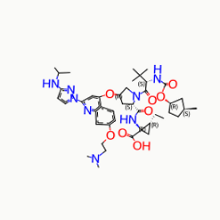 CC[C@@H]1C[C@]1(NC(=O)[C@@H]1C[C@@H](Oc2cc(-n3ccc(NC(C)C)n3)nc3cc(OCCN(C)C)ccc23)CN1C(=O)[C@@H](NC(=O)O[C@@H]1CC[C@H](C)C1)C(C)(C)C)C(=O)O